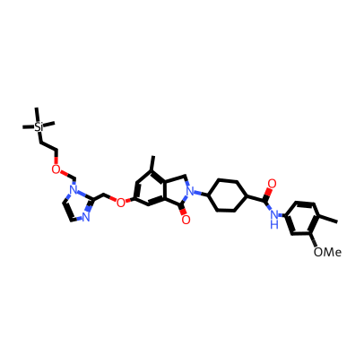 COc1cc(NC(=O)C2CCC(N3Cc4c(C)cc(OCc5nccn5COCC[Si](C)(C)C)cc4C3=O)CC2)ccc1C